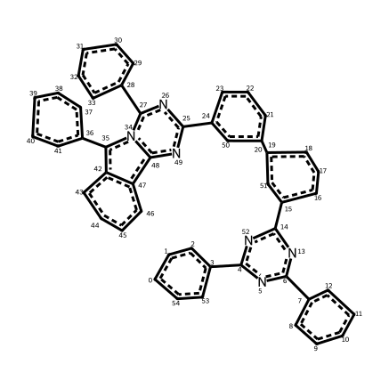 c1ccc(-c2nc(-c3ccccc3)nc(-c3cccc(-c4cccc(-c5nc(-c6ccccc6)n6c(-c7ccccc7)c7ccccc7c6n5)c4)c3)n2)cc1